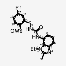 CCn1c(C)nc2cccc(NC(=O)NSc3cc(F)ccc3OC)c21